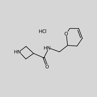 Cl.O=C(NCC1CC=CCO1)C1CNC1